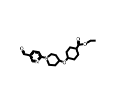 CCOC(=O)C1CCC(OC2CCN(c3ccc(C=O)cn3)CC2)CC1